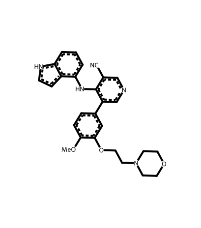 COc1ccc(-c2cncc(C#N)c2Nc2cccc3[nH]ccc23)cc1OCCN1CCOCC1